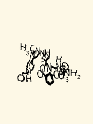 Cc1nc(Nc2ncc(C(=O)N(CCNS(N)(=O)=O)c3c(C)cccc3Cl)s2)cc(N2CCN(CCO)CC2)n1